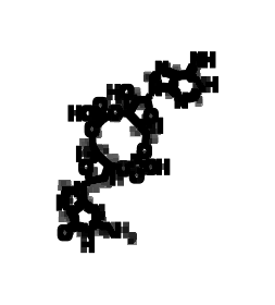 N=c1[nH]cnc2c1ncn2[C@@H]1O[C@@H]2COP(=O)(O)O[C@H]3C[C@H](n4cnc5c(=O)[nH]c(N)nc54)O[C@@H]3COP(=O)(O)O[C@H]2[C@H]1O